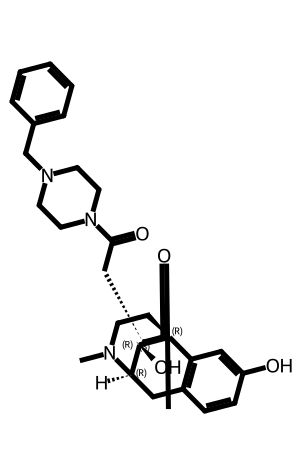 CN1CC[C@]23CC(=O)[C@@H](CC(=O)N4CCN(Cc5ccccc5)CC4)C[C@@]2(O)[C@H]1Cc1ccc(O)cc13